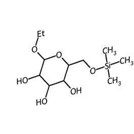 CCOC1OC(CO[Si](C)(C)C)C(O)C(O)C1O